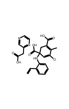 C=Cc1ccccc1NC1(C(=O)O)C=C(Cl)C(C)=C(C(=O)O)C1.O=C(O)Cc1cnccn1